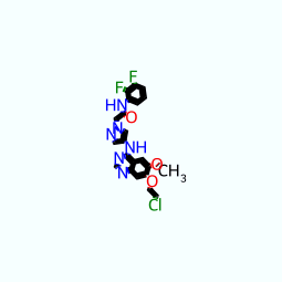 COc1cc2c(Nc3cnn(CC(=O)Nc4cccc(F)c4F)c3)ncnc2cc1OCCCl